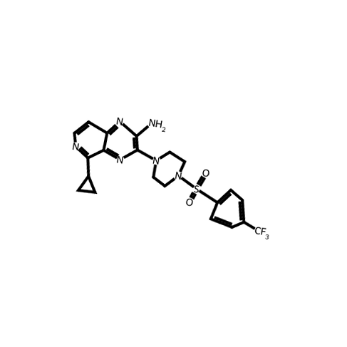 Nc1nc2ccnc(C3CC3)c2nc1N1CCN(S(=O)(=O)c2ccc(C(F)(F)F)cc2)CC1